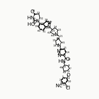 N#Cc1ccc(O[C@H]2CC[C@H](NC(=O)c3ccc(N4CC[C@H](CN5CCC(n6ncc7c(N8CCC(=O)NC8O)cccc76)CC5)C4)nn3)CC2)cc1Cl